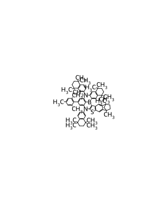 Cc1cc(C)c(-c2cc3c4c(c2)N(c2ccc5c(c2)C(C)(C)CCC5(C)C)c2sc5cc6c(cc5c2B4c2cc4c(cc2N3c2ccc3c(c2)C(C)(C)CCC3(C)C)C(C)(C)CCC4(C)C)C2(C)CCC6(C)C2)c(C)c1